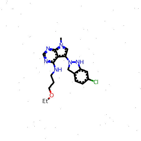 CCOCCCNc1ncnc2c1c(N1Cc3ccc(Cl)cc3N1)cn2C